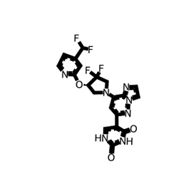 O=c1[nH]cc(-c2cc(N3C[C@H](Oc4cc(C(F)F)ccn4)C(F)(F)C3)c3nccn3n2)c(=O)[nH]1